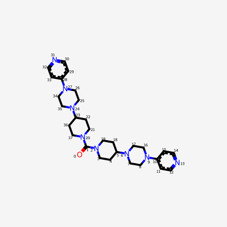 O=C(N1CCC(N2CCN(c3ccncc3)CC2)CC1)N1CCC(N2CCN(c3ccncc3)CC2)CC1